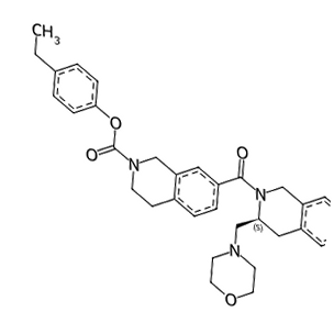 CCc1ccc(OC(=O)N2CCc3ccc(C(=O)N4Cc5ccccc5C[C@H]4CN4CCOCC4)cc3C2)cc1